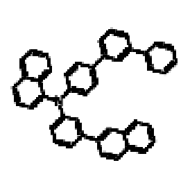 c1ccc(-c2cccc(-c3ccc(N(c4cccc(-c5ccc6ccccc6c5)c4)c4cccc5ccccc45)cc3)c2)cc1